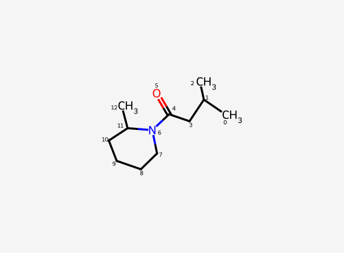 CC(C)CC(=O)N1CCCCC1C